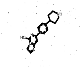 Oc1nc(-c2ccc(C3CCNCC3)cc2)cc2nccn12